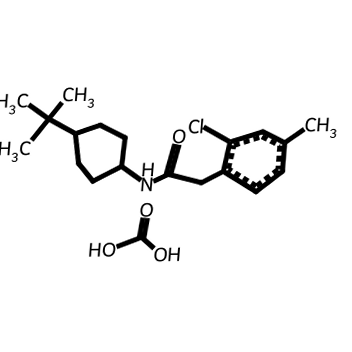 Cc1ccc(CC(=O)NC2CCC(C(C)(C)C)CC2)c(Cl)c1.O=C(O)O